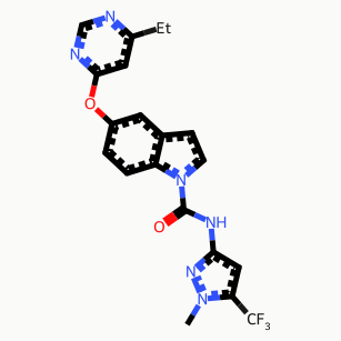 CCc1cc(Oc2ccc3c(ccn3C(=O)Nc3cc(C(F)(F)F)n(C)n3)c2)ncn1